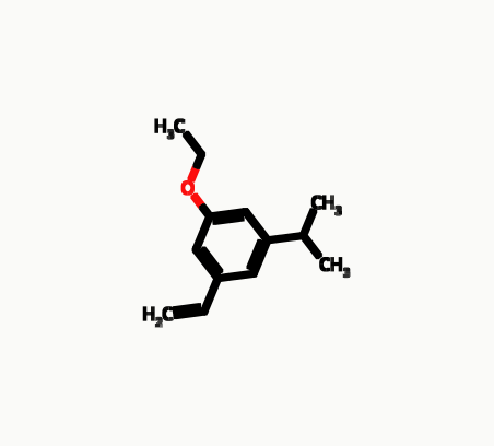 C=Cc1cc(OCC)cc(C(C)C)c1